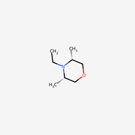 [CH2]CN1[C@H](C)COC[C@@H]1C